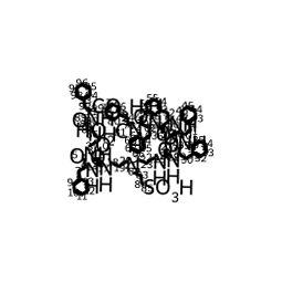 O=C(CNC(=O)C(Cc1ccccc1)NC(=O)NCCCN(CCCNC(=O)NC(Cc1ccccc1)C(=O)NC(Cc1ccccc1)C(=O)NC(Cc1ccccc1)C(=O)NC(Cc1ccccc1)C(=O)NC(Cc1ccccc1)C(=O)O)CCCS(=O)(=O)O)NCC(=O)NC(Cc1ccccc1)C(=O)O